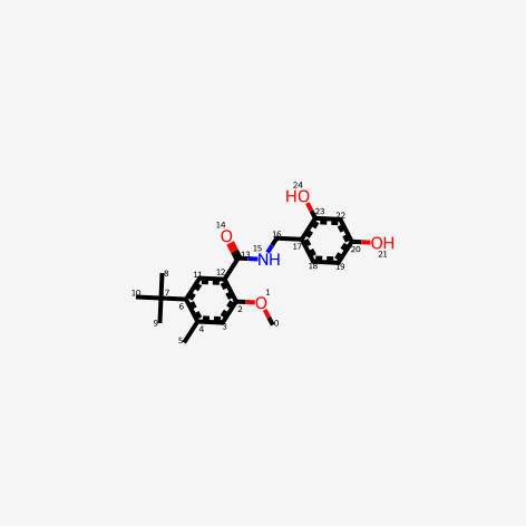 COc1cc(C)c(C(C)(C)C)cc1C(=O)NCc1ccc(O)cc1O